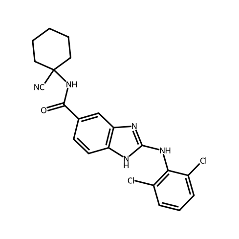 N#CC1(NC(=O)c2ccc3[nH]c(Nc4c(Cl)cccc4Cl)nc3c2)CCCCC1